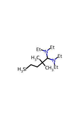 CCN(CC)C(N(CC)CC)C(C)(C)CC[SiH3]